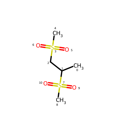 CC(CS(C)(=O)=O)S(C)(=O)=O